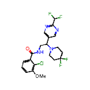 COc1cccc(C(=O)NCC(c2cnc(C(F)F)nc2)N2CCC(F)(F)CC2)c1Cl